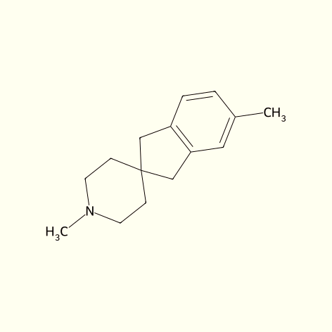 Cc1ccc2c(c1)CC1(CCN(C)CC1)C2